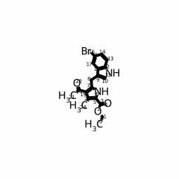 CCOC(=O)c1[nH]c(Cc2c[nH]c3ccc(Br)cc23)c(C(C)=O)c1C